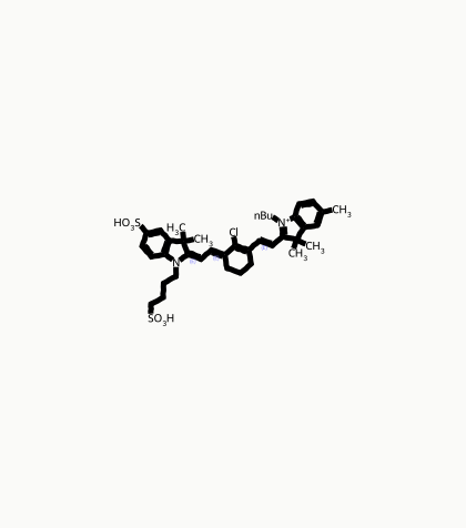 CCCC[N+]1=C(/C=C/C2=C(Cl)C(=C/C=C3/N(CCCCS(=O)(=O)O)c4ccc(S(=O)(=O)O)cc4C3(C)C)/CCC2)C(C)(C)c2cc(C)ccc21